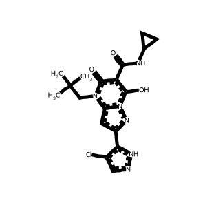 CC(C)(C)Cn1c(=O)c(C(=O)NC2CC2)c(O)n2nc(-c3[nH]ncc3Cl)cc12